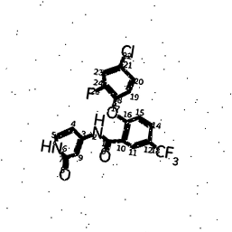 O=C(Nc1cc[nH]c(=O)c1)c1cc(C(F)(F)F)ccc1Oc1ccc(Cl)cc1F